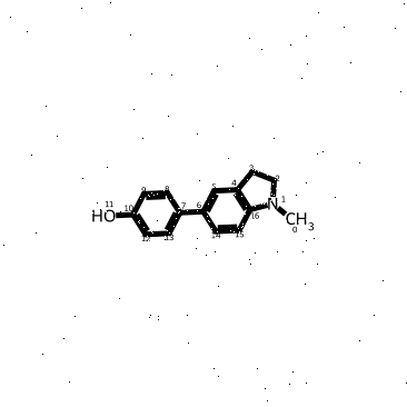 CN1CCc2cc(-c3ccc(O)cc3)ccc21